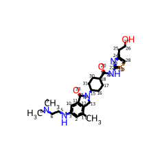 Cc1cc(NCCN(C)C)cc2c1CN(C1CCC(C(=O)Nc3nc(CCO)cs3)CC1)C2=O